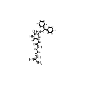 Cc1[nH]c(=O)c(NCC(c2ccccc2)c2ccccc2)nc1CC(=O)NCCONC(=N)N